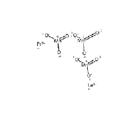 [La+3].[O]=[Mn]([O-])[O-].[O]=[Mn]([O-])[O-].[O]=[Mn]([O-])[O-].[Pr+3]